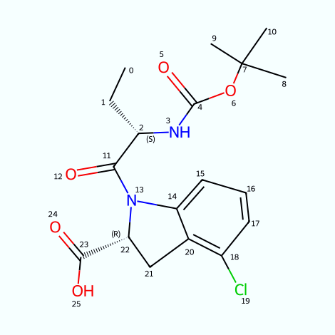 CC[C@H](NC(=O)OC(C)(C)C)C(=O)N1c2cccc(Cl)c2C[C@@H]1C(=O)O